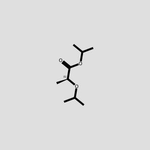 CC(C)OC(=O)[C@H](C)OC(C)C